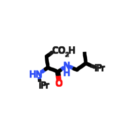 CC(C)NC(CC(=O)O)C(=O)NCC(C)C(C)C